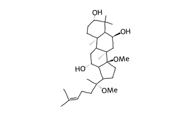 CO[C@@]12CCC([C@](C)(CCC=C(C)C)OC)C1[C@H](O)CC1[C@@]3(C)CC[C@H](O)C(C)(C)C3[C@@H](O)C[C@]12C